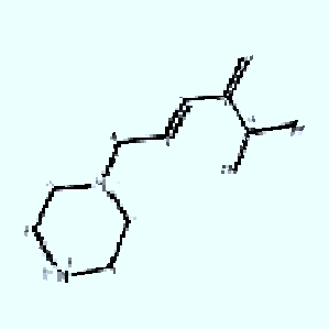 C=C(/C=C/CN1CCNCC1)C(C)C